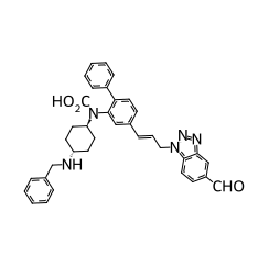 O=Cc1ccc2c(c1)nnn2CC=Cc1ccc(-c2ccccc2)c(N(C(=O)O)[C@H]2CC[C@H](NCc3ccccc3)CC2)c1